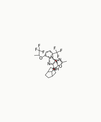 Cc1nnc(N2CC3CCC(C2)C3Nc2nc3c(OC(C)C(F)(F)F)ccc(C(F)(F)F)n3n2)o1